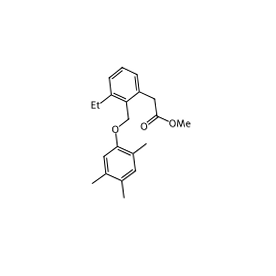 CCc1cccc(CC(=O)OC)c1COc1cc(C)c(C)cc1C